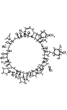 CCC[C@H]1C(=O)N[C@@H]([C@@H](C)CC)C(=O)N(C2CC2)CC(=O)N(C)[C@H]2C/C=C\CCN(C2=O)[C@@H](Cc2ccc(C)cc2)C(=O)N(C)CC(=O)N[C@@H](CCc2cc(F)c(C(F)(F)F)c(F)c2)C(=O)N2C[C@H](OCC)C[C@H]2C(=O)N(C)C2(CCC2)C(=O)N(C)[C@@H](C2CCCC2)C(=O)N(C)[C@H](C(=O)N2CCCC2)CC(=O)N1C